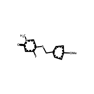 COc1ccc(CSc2cn(C)c(=O)cc2F)cc1